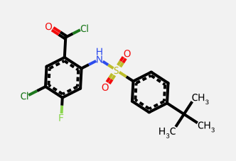 CC(C)(C)c1ccc(S(=O)(=O)Nc2cc(F)c(Cl)cc2C(=O)Cl)cc1